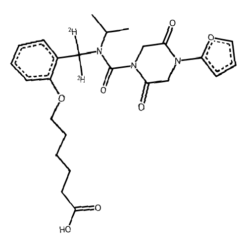 [2H]C([2H])(c1ccccc1OCCCCCC(=O)O)N(C(=O)N1CC(=O)N(c2ccco2)CC1=O)C(C)C